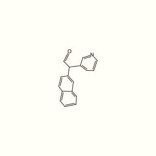 O=CC(c1cccnc1)c1ccc2ccccc2c1